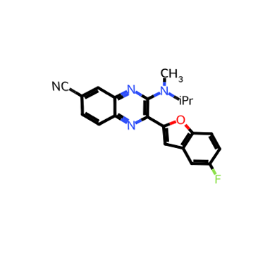 CC(C)N(C)c1nc2cc(C#N)ccc2nc1-c1cc2cc(F)ccc2o1